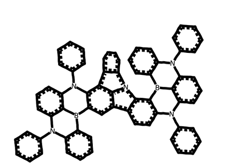 c1ccc(N2c3ccccc3B3c4c2cccc4N(c2ccccc2)c2ccc4c5cc6c(c7c8ccccc8n(c4c23)c57)N(c2ccccc2)c2cccc3c2B6c2ccccc2N3c2ccccc2)cc1